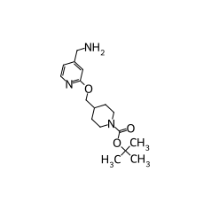 CC(C)(C)OC(=O)N1CCC(COc2cc(CN)ccn2)CC1